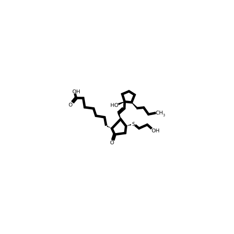 CCCC[C@@H]1CCC[C@@]1(O)C=C[C@H]1[C@H](SCCO)CC(=O)[C@@H]1CCCCCCC(=O)O